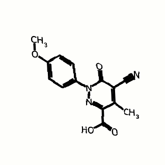 COc1ccc(-n2nc(C(=O)O)c(C)c(C#N)c2=O)cc1